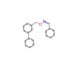 [C](=N/OCc1cccc(-c2ccccc2)c1)/c1ccccc1